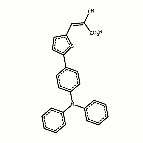 N#CC(=Cc1ccc(-c2ccc(N(c3ccccc3)c3ccccc3)cc2)s1)C(=O)O